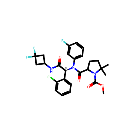 COC(=O)N1C(C(=O)N(c2cccc(F)c2)[C@H](C(=O)NC2CC(F)(F)C2)c2ccccc2Cl)CCC1(C)C